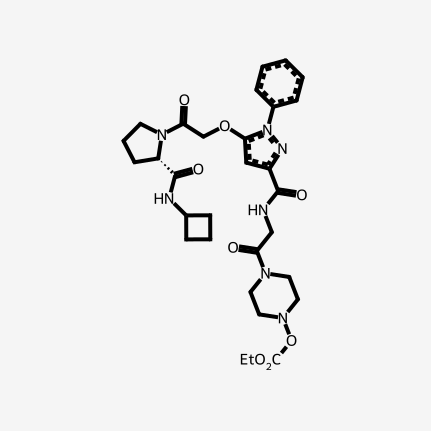 CCOC(=O)ON1CCN(C(=O)CNC(=O)c2cc(OCC(=O)N3CCC[C@H]3C(=O)NC3CCC3)n(-c3ccccc3)n2)CC1